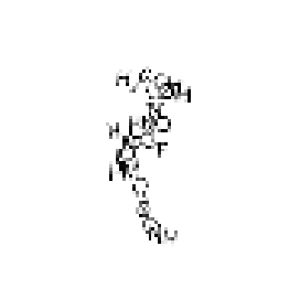 Cc1c(NC(=O)N2C[C@@H](CC(C)C)[C@@H](O)C2)cc(F)cc1-c1ncnc2[nH]c(-c3ccc(COC4CCNCC4)cc3)cc12